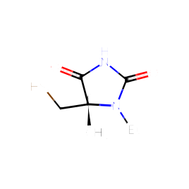 CCN1C(=O)NC(=O)[C@@]1(C)CS